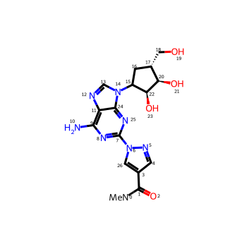 CNC(=O)c1cnn(-c2nc(N)c3ncn(C4C[C@H](CO)[C@@H](O)[C@H]4O)c3n2)c1